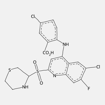 O=C(O)c1cc(Cl)ccc1Nc1cc(S(=O)(=O)C2CSCCN2)nc2cc(F)c(Cl)cc12